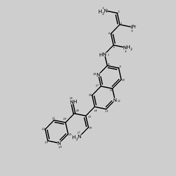 CC(C)C(=C/N)/C=C(\N)Nc1ccc2ncc(/C(=C/N)C(=N)c3cccnc3)cc2n1